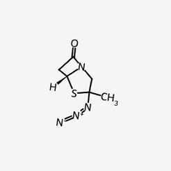 CC1(N=[N+]=[N-])CN2C(=O)C[C@H]2S1